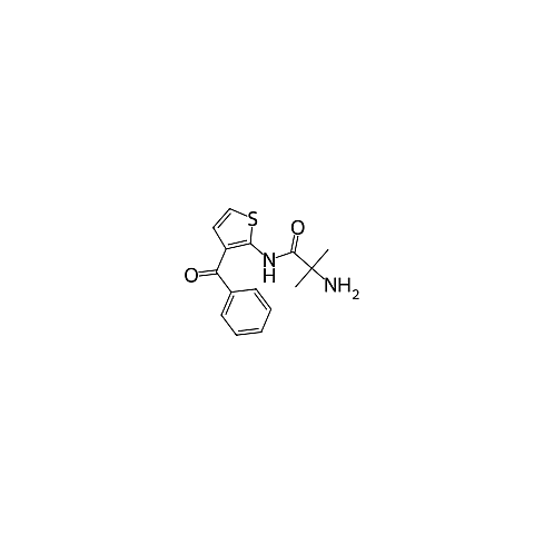 CC(C)(N)C(=O)Nc1sccc1C(=O)c1ccccc1